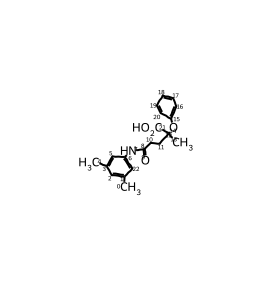 Cc1cc(C)cc(NC(=O)CCC(C)(Oc2ccccc2)C(=O)O)c1